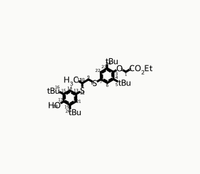 CCOC(=O)COc1c(C(C)(C)C)cc(SCC(C)Sc2cc(C(C)(C)C)c(O)c(C(C)(C)C)c2)cc1C(C)(C)C